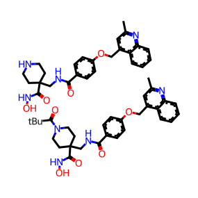 Cc1cc(COc2ccc(C(=O)NCC3(C(=O)NO)CCN(C(=O)C(C)(C)C)CC3)cc2)c2ccccc2n1.Cc1cc(COc2ccc(C(=O)NCC3(C(=O)NO)CCNCC3)cc2)c2ccccc2n1